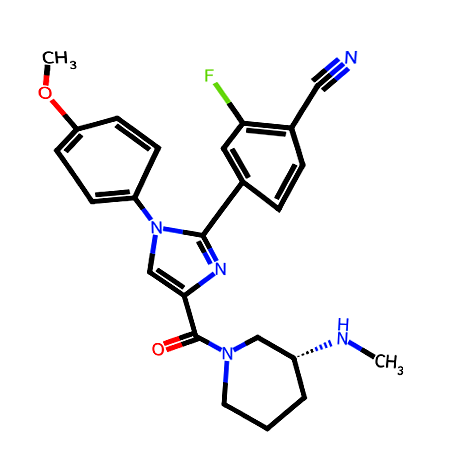 CN[C@@H]1CCCN(C(=O)c2cn(-c3ccc(OC)cc3)c(-c3ccc(C#N)c(F)c3)n2)C1